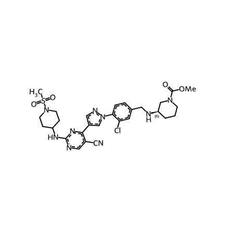 COC(=O)N1CCC[C@@H](NCc2ccc(-n3cc(-c4nc(NC5CCN(S(C)(=O)=O)CC5)ncc4C#N)cn3)c(Cl)c2)C1